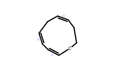 [CH]1/C=C\C=C/C/C=C\CC1